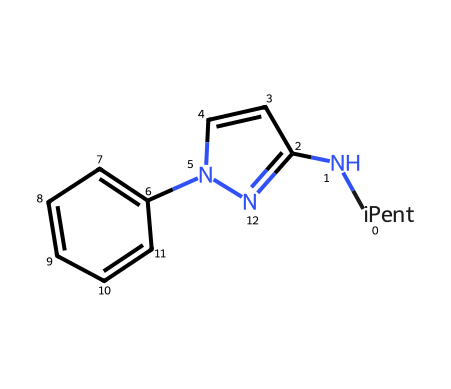 CCCC(C)Nc1ccn(-c2ccccc2)n1